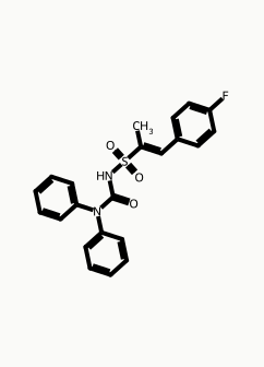 C/C(=C\c1ccc(F)cc1)S(=O)(=O)NC(=O)N(c1ccccc1)c1ccccc1